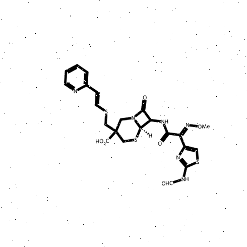 CON=C(C(=O)NC1C(=O)N2CC(CSC=Cc3ccccn3)(C(=O)O)CS[C@H]12)c1csc(NC=O)n1